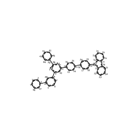 c1ccc(-c2cccc(-c3cc(-c4ccc(-c5ccc(-n6c7ccccc7c7ccccc76)cc5)cc4)nc(-c4ccccc4)n3)c2)cc1